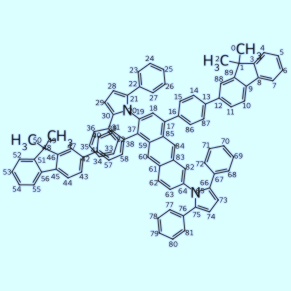 CC1(C)c2ccccc2-c2ccc(-c3ccc(-c4cc(-n5c(-c6ccccc6)ccc5-c5ccccc5)c(-c5ccc(-c6ccc7c(c6)C(C)(C)c6ccccc6-7)cc5)c5cc6ccc(-n7c(-c8ccccc8)ccc7-c7ccccc7)cc6cc45)cc3)cc21